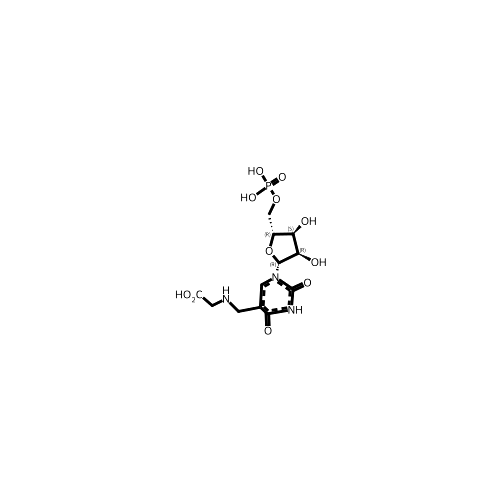 O=C(O)CNCc1cn([C@@H]2O[C@H](COP(=O)(O)O)[C@@H](O)[C@H]2O)c(=O)[nH]c1=O